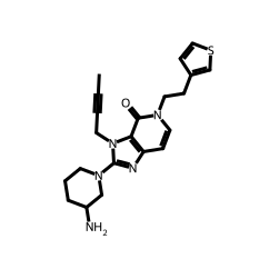 CC#CCn1c(N2CCCC(N)C2)nc2ccn(CCc3ccsc3)c(=O)c21